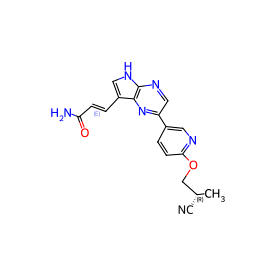 C[C@H](C#N)COc1ccc(-c2cnc3[nH]cc(/C=C/C(N)=O)c3n2)cn1